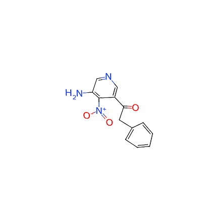 Nc1cncc(C(=O)Cc2ccccc2)c1[N+](=O)[O-]